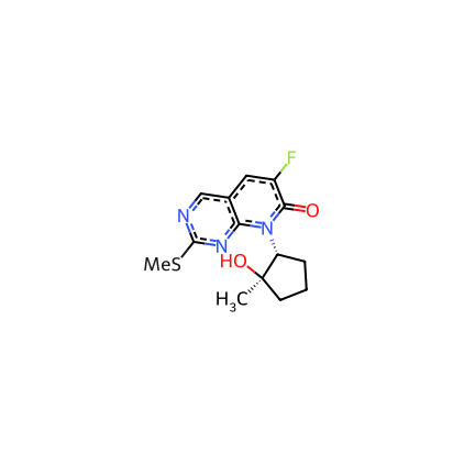 CSc1ncc2cc(F)c(=O)n([C@@H]3CCC[C@@]3(C)O)c2n1